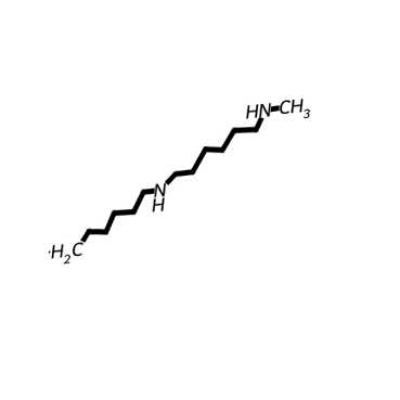 [CH2]CCCCCNCCCCCCNC